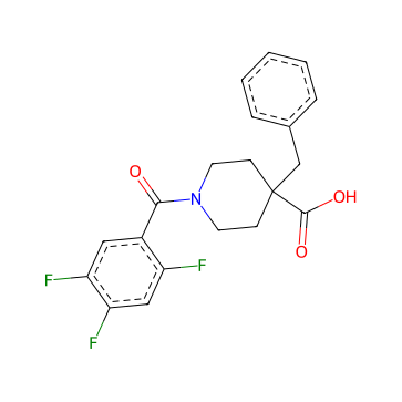 O=C(c1cc(F)c(F)cc1F)N1CCC(Cc2ccccc2)(C(=O)O)CC1